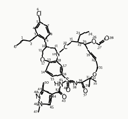 CCCc1cc(Cl)ccc1C1COc2ccc3cc2N(CCC(CC)C(OC=O)/C=C/COC(C)(C)C(=O)N=S3(=O)NC(=O)c2cn(C)nc2C)C1